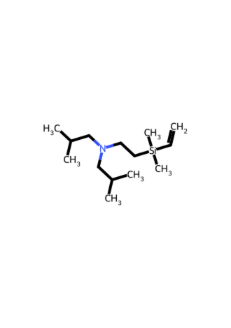 C=C[Si](C)(C)CCN(CC(C)C)CC(C)C